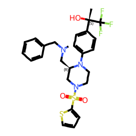 CN(Cc1ccccc1)C[C@@H]1CN(S(=O)(=O)c2cccs2)CCN1c1ccc([C@](C)(O)C(F)(F)F)cc1